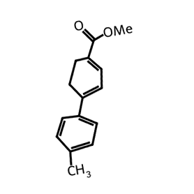 COC(=O)C1=CC=C(c2ccc(C)cc2)CC1